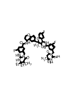 CCC1(C)CC(=O)N(Cc2cc(F)cc(C(=O)NC3c4cc(F)ccc4OC(C)(Cc4ccc5c(c4)[C@@H](NC(=O)c4cc(F)cc(CN6C(=N)NC(CC)(CC)C(C)C6=O)c4)CCO5)C3O)c2)C(=N)N1